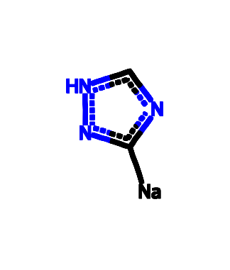 [Na][c]1nc[nH]n1